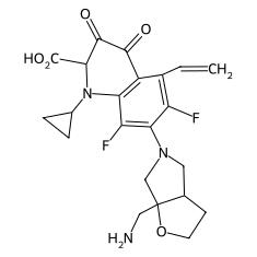 C=Cc1c(F)c(N2CC3CCOC3(CN)C2)c(F)c2c1C(=O)C(=O)C(C(=O)O)N2C1CC1